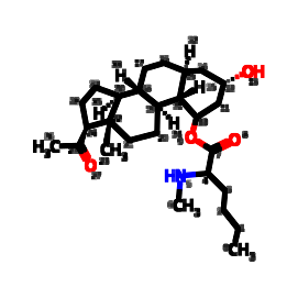 CCCCC(NC)C(=O)OC1C[C@@H](O)C[C@@H]2CC[C@@H]3[C@H](CC[C@]4(C)[C@@H](C(C)=O)CC[C@@H]34)[C@@H]12